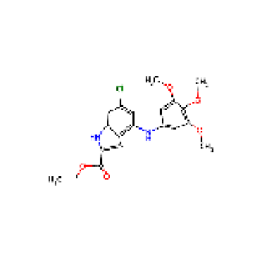 CCOC(=O)c1cc2c(Nc3cc(OC)c(OC)c(OC)c3)cc(Cl)cc2[nH]1